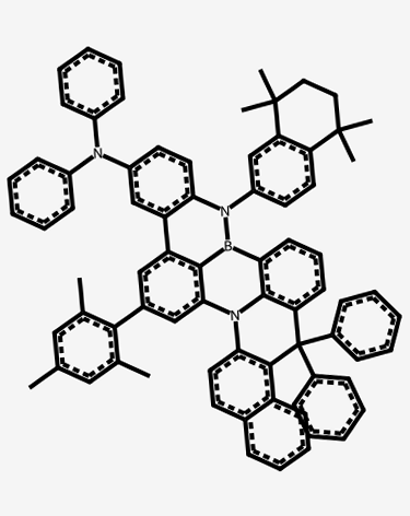 Cc1cc(C)c(-c2cc3c4c(c2)N2c5ccc6ccccc6c5C(c5ccccc5)(c5ccccc5)c5cccc(c52)B4N(c2ccc4c(c2)C(C)(C)CCC4(C)C)c2ccc(N(c4ccccc4)c4ccccc4)cc2-3)c(C)c1